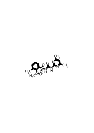 Cc1cc(C)nc(NC(=O)NS(=O)(=O)c2cccc(C)c2[S+](C)[O-])n1